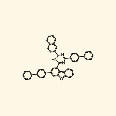 c1ccc(-c2ccc(C3=NC(c4ccc5ccccc5c4)NC(c4cc(-c5ccc(-c6ccccc6)cc5)cc5oc6ccccc6c45)=N3)cc2)cc1